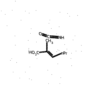 CCCC=C(C)C(=O)O.N=C=O